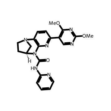 COc1ncc(-c2ccc3c(n2)N(C(=O)Nc2ccccn2)[C@H]2CCN3C2)c(OC)n1